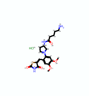 COc1cc(C=C2SC(=O)NC2=O)c(N2CC[C@@H](NC(=O)CCCCN)C2)cc1OC.Cl